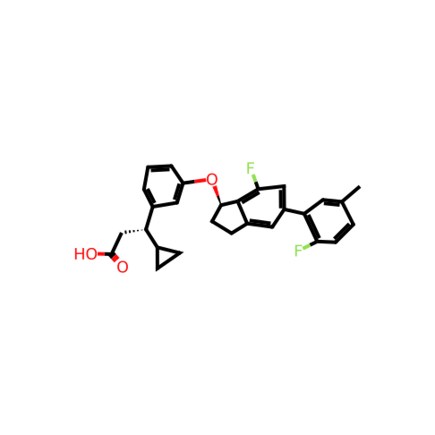 Cc1ccc(F)c(-c2cc(F)c3c(c2)CC[C@H]3Oc2cccc([C@@H](CC(=O)O)C3CC3)c2)c1